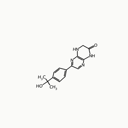 CC(C)(O)c1ccc(-c2cnc3c(n2)NCC(=O)N3)cc1